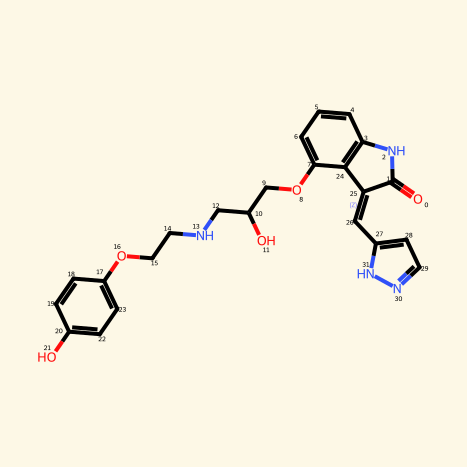 O=C1Nc2cccc(OCC(O)CNCCOc3ccc(O)cc3)c2/C1=C/c1ccn[nH]1